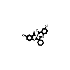 O=c1oc(C2(c3nc4ccc(Cl)cc4c(=O)o3)CCCCC2)nc2ccc(Cl)cc12